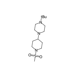 CC(C)(C)N1CCN(C2CCN(S(C)(=O)=O)CC2)CC1